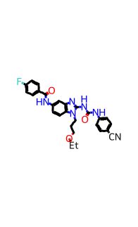 CCOCCCn1c(NC(=O)Nc2ccc(C#N)cc2)nc2cc(NC(=O)c3ccc(F)cc3)ccc21